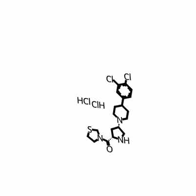 Cl.Cl.O=C([C@@H]1C[C@H](N2CCC(c3ccc(Cl)c(Cl)c3)CC2)CN1)N1CCSC1